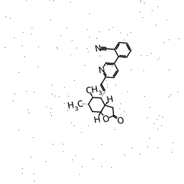 C[C@H]1[C@H](/C=C/c2ccc(-c3ccccc3C#N)cn2)[C@@H]2CC(=O)O[C@@H]2C[C@@H]1C